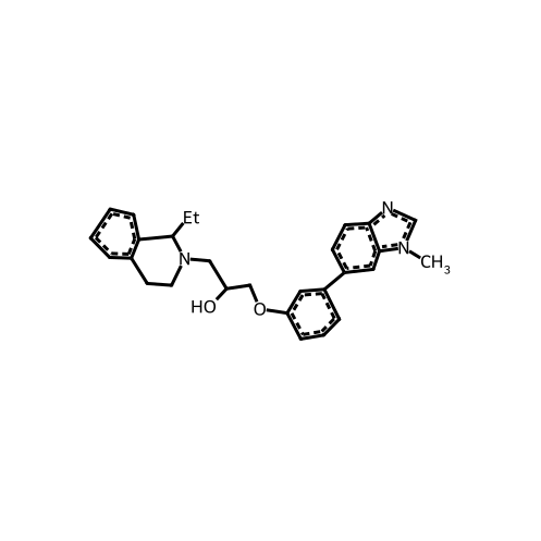 CCC1c2ccccc2CCN1CC(O)COc1cccc(-c2ccc3ncn(C)c3c2)c1